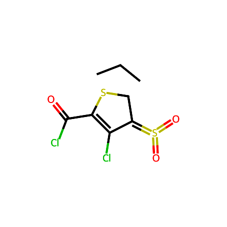 CCC.O=C(Cl)C1=C(Cl)C(=S(=O)=O)CS1